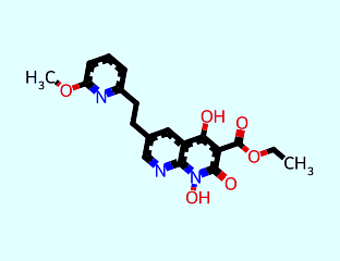 CCOC(=O)c1c(O)c2cc(CCc3cccc(OC)n3)cnc2n(O)c1=O